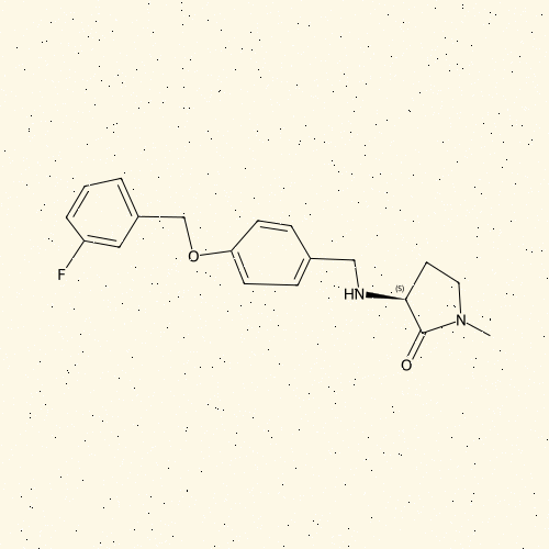 CN1CC[C@H](NCc2ccc(OCc3cccc(F)c3)cc2)C1=O